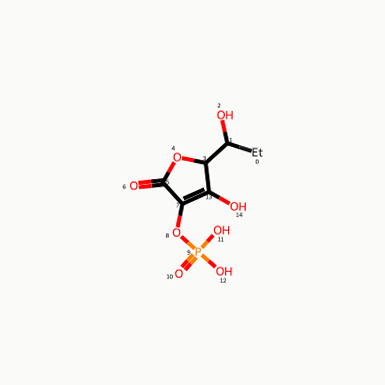 CCC(O)C1OC(=O)C(OP(=O)(O)O)=C1O